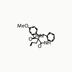 C=CCC1(C(=O)OC)C(=O)Nc2ccccc2CC1c1ccc(OC)cc1